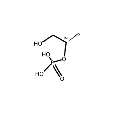 C[C@@H](CO)OP(=O)(O)O